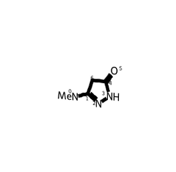 CNC1=NNC(=O)C1